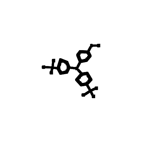 ClSc1ccc(N(c2ccc(S(Cl)(Cl)Cl)cc2)c2ccc(S(Cl)(Cl)Cl)cc2)cc1